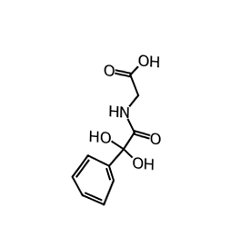 O=C(O)CNC(=O)C(O)(O)c1ccccc1